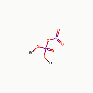 CCOP(=O)(OCC)OP(=O)=O